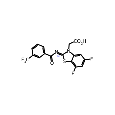 O=C(O)Cn1/c(=N/C(=O)c2cccc(C(F)(F)F)c2)sc2c(F)cc(F)cc21